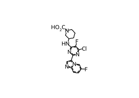 O=C(O)N1CCCC(Nc2nc(-c3cnc4ccc(F)cn34)nc(Cl)c2F)C1